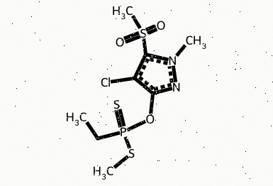 CCP(=S)(Oc1nn(C)c(S(C)(=O)=O)c1Cl)SC